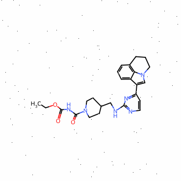 CCOC(=O)NC(=O)N1CCC(CNc2nccc(-c3cn4c5c(cccc35)CCC4)n2)CC1